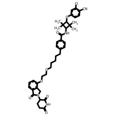 CC1(C)C(NC(=O)c2ccc(CCCCCOCCOc3cccc4c3CN(C3CCC(=O)NC3=O)C4=O)cc2)C(C)(C)C1Oc1ccc(C#N)c(Cl)c1